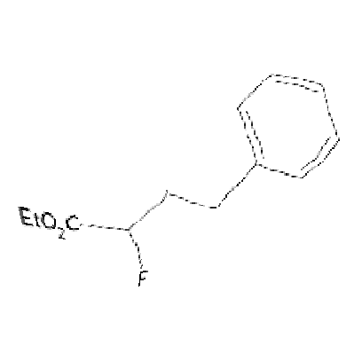 CCOC(=O)C(F)CCc1ccccc1